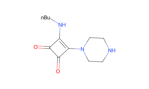 CCCCNc1c(N2CCNCC2)c(=O)c1=O